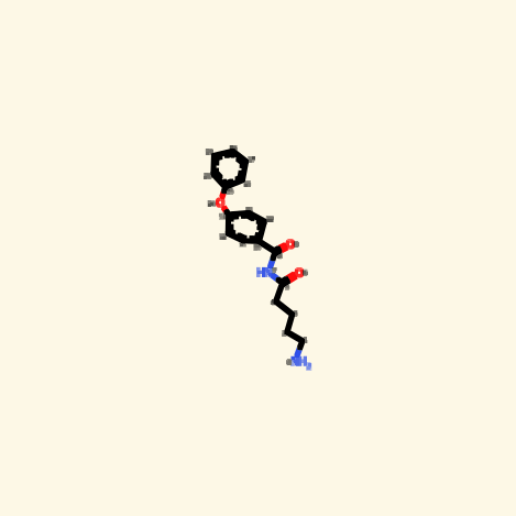 NCCCCC(=O)NC(=O)c1ccc(Oc2ccccc2)cc1